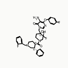 Nc1c(Oc2ccc(F)cc2)ncn(C[C@@]2(O)CCN(C(=O)[C@@H]3CCN(Cc4ccccc4F)C[C@H]3c3ccccc3)CC2(F)F)c1=O